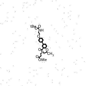 COC(=O)CCN1CC(C)Oc2ccc(-c3ccc(OCCNC(=O)OC(C)(C)C)cc3)cc2C1=O